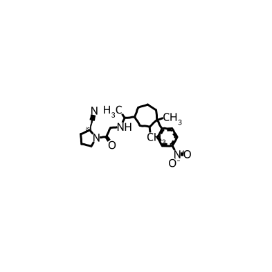 CC(NCC(=O)N1CCC[C@H]1C#N)C1CCCC(C)(c2ccc([N+](=O)[O-])cc2)C(C)C1